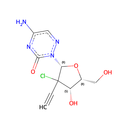 C#CC1(Cl)[C@@H](O)[C@@H](CO)O[C@H]1n1ncc(N)nc1=O